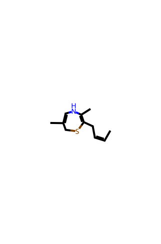 C/C=C\CC1=C(C)NC=C(C)CS1